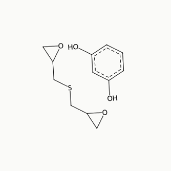 C1OC1CSCC1CO1.Oc1cccc(O)c1